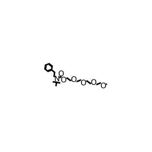 COCCOCCOCCOCCOC(=O)N(CCc1ccccc1)C(C)(C)C